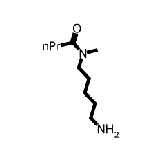 CCCC(=O)N(C)CCCCCN